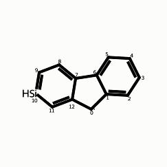 [CH]1c2ccccc2-c2cc[siH]cc21